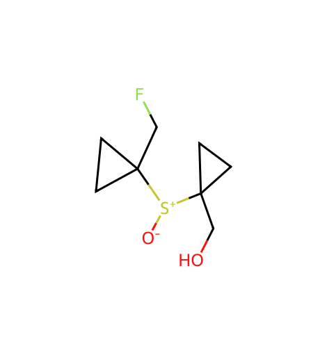 [O-][S+](C1(CO)CC1)C1(CF)CC1